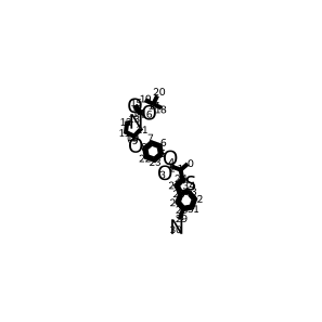 CC(C(=O)Oc1ccc(O[C@H]2CCN(C(=O)OC(C)(C)C)C2)cc1)c1cc2cc(C#N)ccc2s1